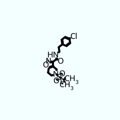 CN(C)S(=O)(=O)N1CCc2onc(C(=O)NCCc3ccc(Cl)cc3)c2C1